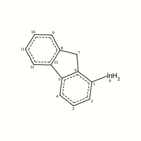 [InH2][c]1cccc2c1Cc1ccccc1-2